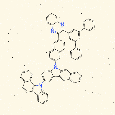 c1ccc(-c2cc(-c3ccccc3)cc(-c3nc4ccccc4nc3-c3ccc4cc(-n5c6ccc(-n7c8ccccc8c8ccc9ccccc9c87)cc6c6cc7ccccc7cc65)ccc4c3)c2)cc1